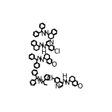 CCC(=NN=C(c1ccccc1)c1ccccc1)c1ccccc1.COc1ccc2c(c1)CCCC2=NN=C(c1ccccc1)c1ccccc1.COc1ccc2c(c1)CCCC2=NNc1ccnc2cc(Cl)ccc12.Clc1ccc2c(NN=C3CCCc4ccccc43)ccnc2c1.c1ccc(C(=NN=C2CCCc3ccccc32)c2ccccc2)cc1